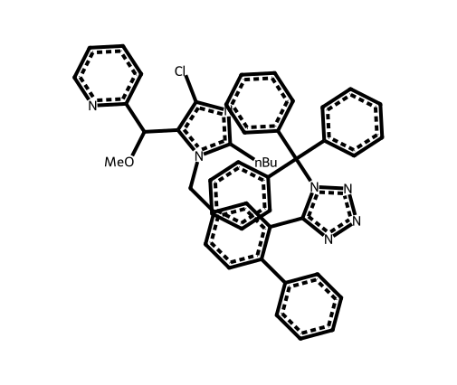 CCCCc1nc(Cl)c(C(OC)c2ccccn2)n1Cc1ccc(-c2ccccc2)c(-c2nnnn2C(c2ccccc2)(c2ccccc2)c2ccccc2)c1